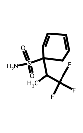 CC(C(F)(F)F)C1(S(N)(=O)=O)C=CC=CC1